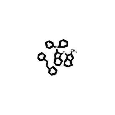 CC1=Cc2ccccc2[CH]1[Ti][CH]1C(P(c2ccccc2)c2ccccc2)=Cc2ccccc21.c1ccc(CCc2ccccc2)cc1